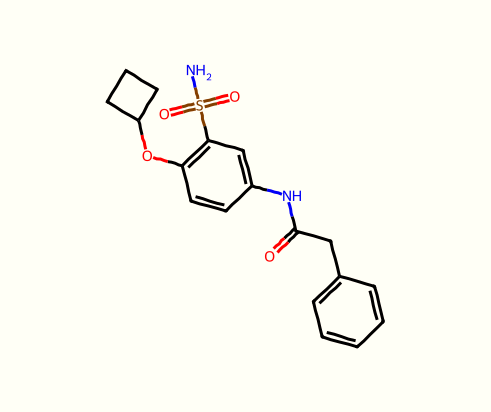 NS(=O)(=O)c1cc(NC(=O)Cc2ccccc2)ccc1OC1CCC1